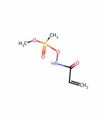 C=CC(=O)NOP(C)(=O)OC